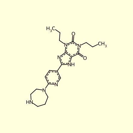 CCCn1c(=O)c2[nH]c(-c3ccc(N4CCCNCC4)nc3)nc2n(CCC)c1=O